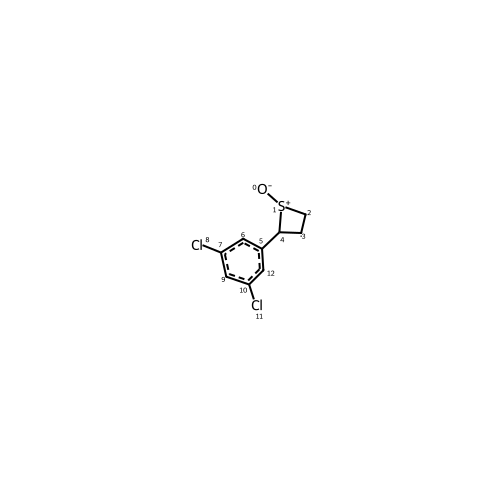 [O-][S+]1C[CH]C1c1cc(Cl)cc(Cl)c1